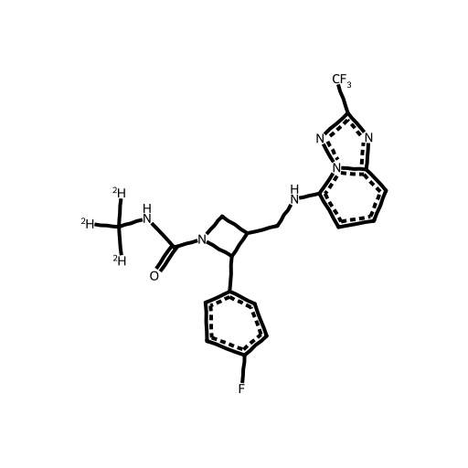 [2H]C([2H])([2H])NC(=O)N1CC(CNc2cccc3nc(C(F)(F)F)nn23)C1c1ccc(F)cc1